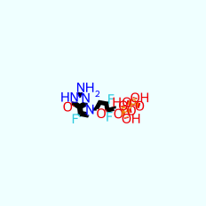 Nc1nc2c(c(F)cn2[C@H]2C[C@H](F)[C@@](F)(COP(=O)(O)OP(=O)(O)O)O2)c(=O)[nH]1